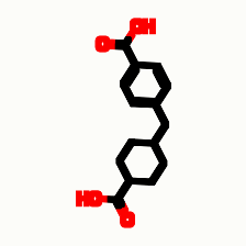 O=C(O)c1ccc(CC2CCC(C(=O)O)CC2)cc1